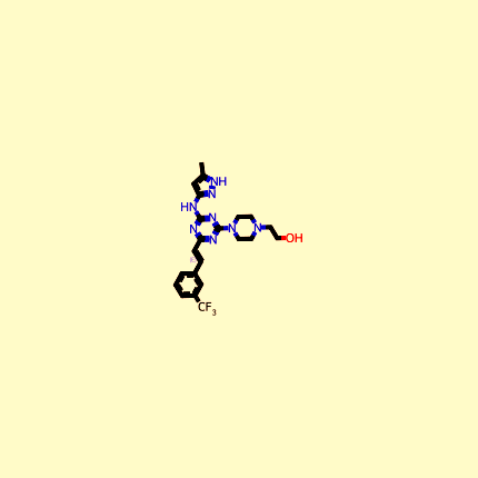 Cc1cc(Nc2nc(/C=C/c3cccc(C(F)(F)F)c3)nc(N3CCN(CCO)CC3)n2)n[nH]1